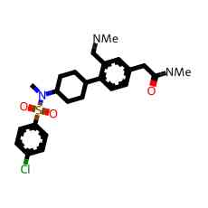 CNCc1cc(CC(=O)NC)ccc1C1CCC(N(C)S(=O)(=O)c2ccc(Cl)cc2)CC1